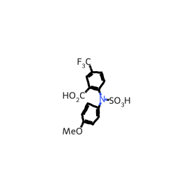 COc1ccc(N(c2ccc(C(F)(F)F)cc2C(=O)O)S(=O)(=O)O)cc1